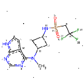 CN(c1ncnc2[nH]ccc12)C1CC(NS(=O)(=O)CC(F)(F)F)C1